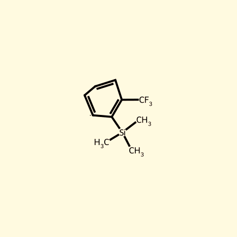 C[Si](C)(C)c1[c]cccc1C(F)(F)F